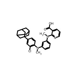 CN(c1cccc(N(C)c2ncccc2C(=O)O)c1)c1ccc(C23CC4CC(CC(C4)C2)C3)cc1Cl